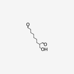 O=CCCCCCCC(C=O)CO